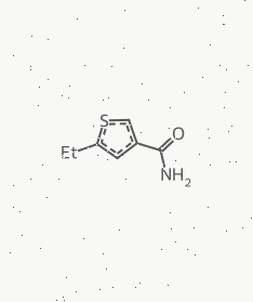 CCc1cc(C(N)=O)cs1